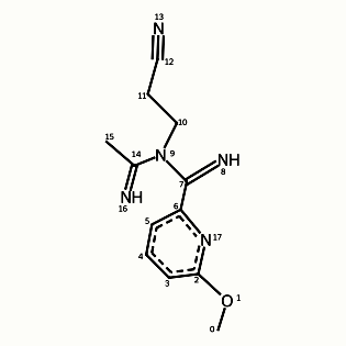 COc1cccc(C(=N)N(CCC#N)C(C)=N)n1